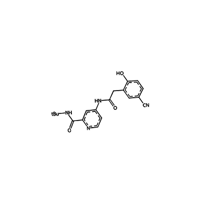 CC(C)(C)NC(=O)c1cc(NC(=O)Cc2cc(C#N)ccc2O)ccn1